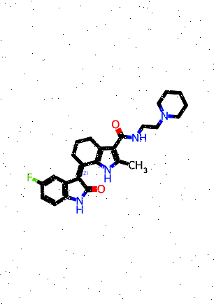 Cc1[nH]c2c(c1C(=O)NCCN1CCCCC1)CCC/C2=C1/C(=O)Nc2ccc(F)cc21